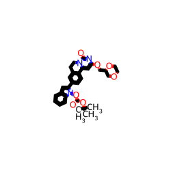 CC(C)(C)OC(=O)On1c(-c2ccc3c(c2)CCn2c-3cc(OCC3COCCO3)nc2=O)cc2ccccc21